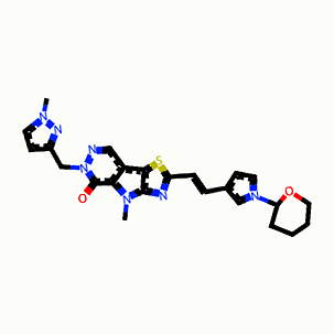 Cn1ccc(Cn2ncc3c4sc(/C=C/c5ccn(C6CCCCO6)c5)nc4n(C)c3c2=O)n1